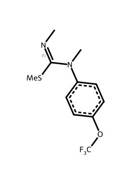 C/N=C(/SC)N(C)c1ccc(OC(F)(F)F)cc1